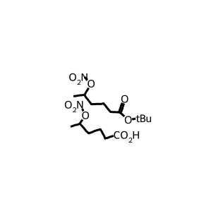 CC(CCCC(=O)O)O[N+](=O)[O-].CC(CCCC(=O)OC(C)(C)C)O[N+](=O)[O-]